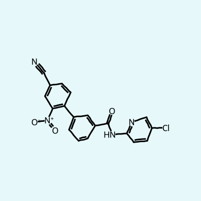 N#Cc1ccc(-c2cccc(C(=O)Nc3ccc(Cl)cn3)c2)c([N+](=O)[O-])c1